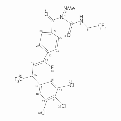 CNN(C(=O)NCC(F)(F)F)C(=O)c1ccc(C(F)=CC(c2cc(Cl)c(Cl)c(Cl)c2)C(F)(F)F)cc1